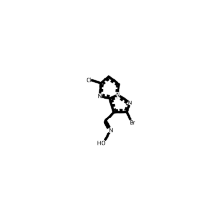 ON=Cc1c(Br)nn2ccc(Cl)nc12